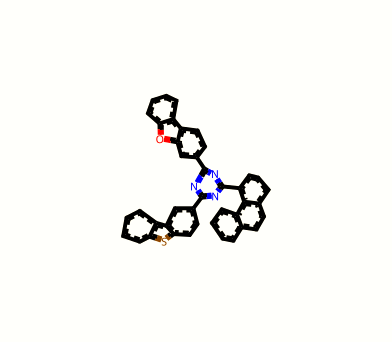 c1ccc2c(c1)ccc1cccc(-c3nc(-c4ccc5c(c4)oc4ccccc45)nc(-c4ccc5sc6ccccc6c5c4)n3)c12